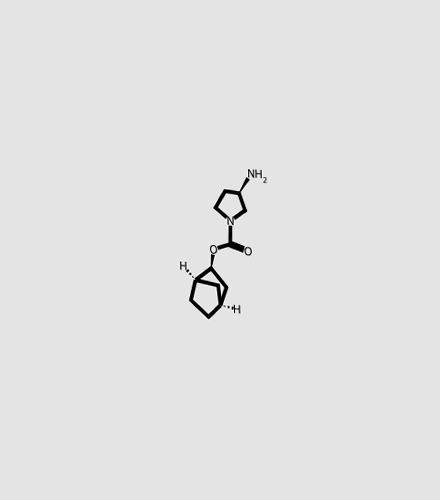 N[C@@H]1CCN(C(=O)O[C@H]2C[C@H]3CC[C@@H]2C3)C1